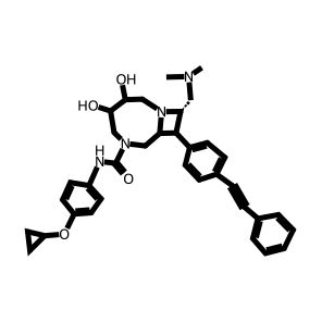 CN(C)C[C@@H]1C(c2ccc(C#Cc3ccccc3)cc2)C2CN(C(=O)Nc3ccc(OC4CC4)cc3)CC(O)C(O)CN21